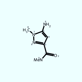 CNC(=O)c1cc(N)n(C)n1